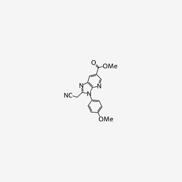 COC(=O)c1cnc2c(c1)nc(CC#N)n2-c1ccc(OC)cc1